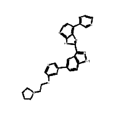 c1cncc(-c2ccnc3[nH]c(-c4n[nH]c5ccc(-c6cncc(OCCN7CCCC7)c6)cc45)nc23)c1